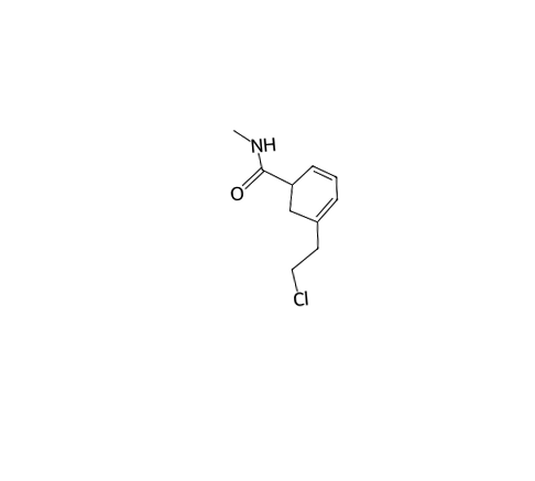 CNC(=O)C1C=CC=C(CCCl)C1